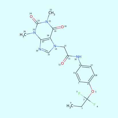 CCC(F)(F)Oc1ccc(NC(=O)Cn2cnc3c2c(=O)n(C)c(=O)n3C)cc1